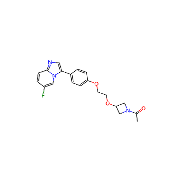 CC(=O)N1CC(OCCOc2ccc(-c3cnc4ccc(F)cn34)cc2)C1